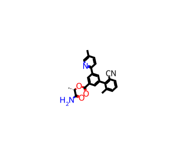 Cc1ccc(-c2cc(C(=O)O[C@@H](C)C(N)=O)cc(-c3c(C)cccc3C#N)c2)nc1